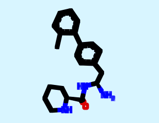 Cc1ccccc1-c1ccc(C[C@@H](N)NC(=O)[C@@H]2CCCCN2)cc1